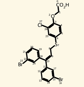 O=C(O)COc1ccc(SCC=C(c2cccc(Br)c2)c2cccc(Br)c2)cc1Cl